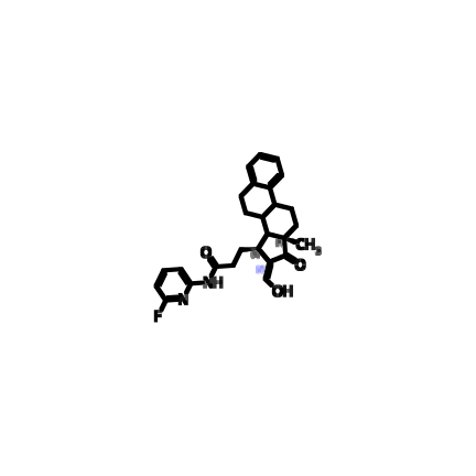 C[C@]12CCC3c4ccccc4CCC3C1[C@H](CCC(=O)Nc1cccc(F)n1)/C(=C/O)C2=O